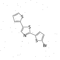 Brc1ccc(-c2ncc(-c3cccs3)s2)s1